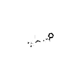 COC(OC)[SiH2]CCCSSc1nc2ccccc2s1